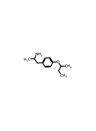 CCC(C)Oc1ccc(CC(C)N)cc1